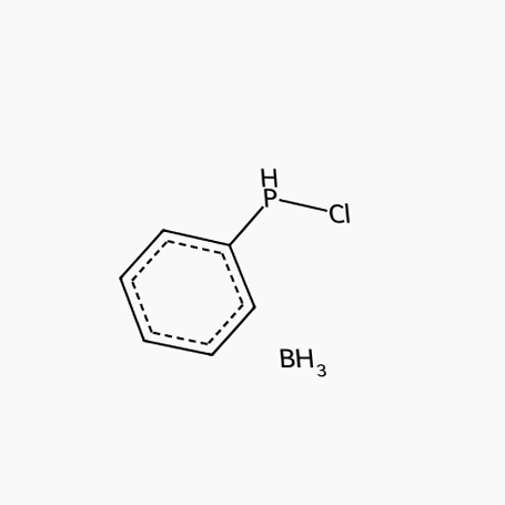 B.ClPc1ccccc1